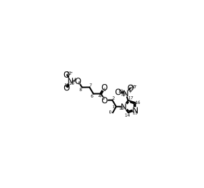 CC(COC(=O)CCCO[N+](=O)[O-])n1cncc1[N+](=O)[O-]